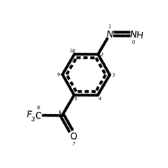 N=Nc1ccc(C(=O)C(F)(F)F)cc1